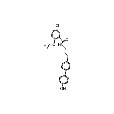 COc1ccc(Cl)cc1C(=O)NCCCc1ccc(-c2ccc(O)cc2)cc1